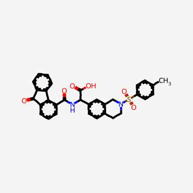 Cc1ccc(S(=O)(=O)N2CCc3ccc(C(NC(=O)c4cccc5c4-c4ccccc4C5=O)C(=O)O)cc3C2)cc1